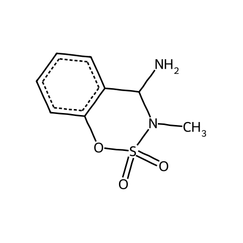 CN1C(N)c2ccccc2OS1(=O)=O